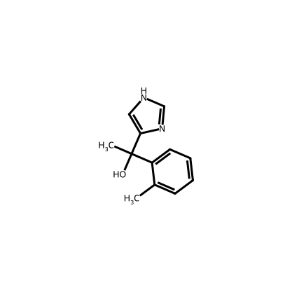 Cc1ccccc1C(C)(O)c1c[nH]cn1